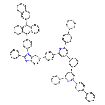 c1ccc(-c2ccc(-c3cc(-c4cccc(-c5cc(-c6ccc(-c7ccccc7)cc6)nc(-c6ccc(-c7ccc8nc(-c9ccccc9)n(-c9ccc(-c%10c%11ccccc%11c(-c%11ccc%12ccccc%12c%11)c%11ccccc%10%11)cc9)c8c7)cc6)c5)c4)cc(-c4ccccc4)n3)cc2)cc1